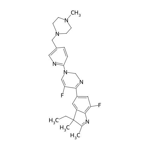 CCC1(C)C(C)=Nc2c(F)cc(C3=NCN(c4ccc(CN5CCN(C)CC5)cn4)C=C3F)cc21